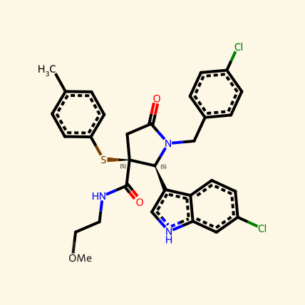 COCCNC(=O)[C@]1(Sc2ccc(C)cc2)CC(=O)N(Cc2ccc(Cl)cc2)[C@H]1c1c[nH]c2cc(Cl)ccc12